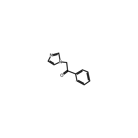 O=C(Cn1ccnc1)c1[c]cccc1